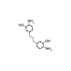 Nc1ccc(CCCc2ccc(N)c(O)c2)cc1O